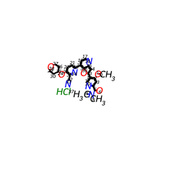 COc1cc(C(=O)N(C)C)ncc1-c1cc2nccc(-c3ccc(OC4CCOCC4)c(C#N)n3)c2o1.Cl